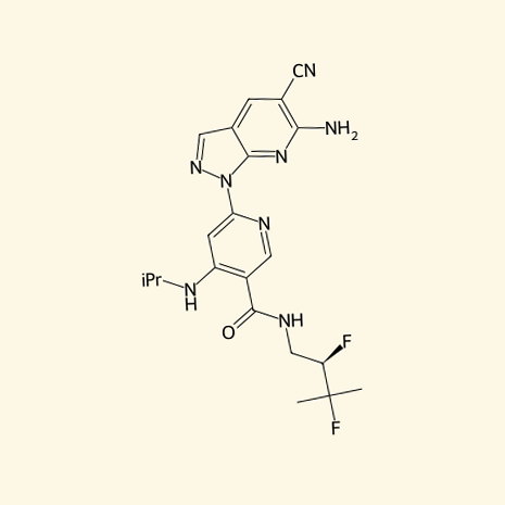 CC(C)Nc1cc(-n2ncc3cc(C#N)c(N)nc32)ncc1C(=O)NC[C@@H](F)C(C)(C)F